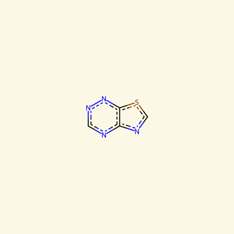 c1nnc2scnc2n1